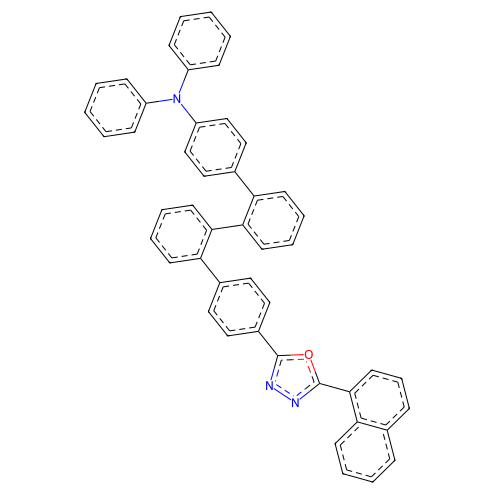 c1ccc(N(c2ccccc2)c2ccc(-c3ccccc3-c3ccccc3-c3ccc(-c4nnc(-c5cccc6ccccc56)o4)cc3)cc2)cc1